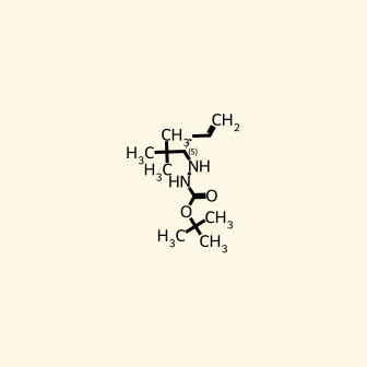 C=CC[C@H](NNC(=O)OC(C)(C)C)C(C)(C)C